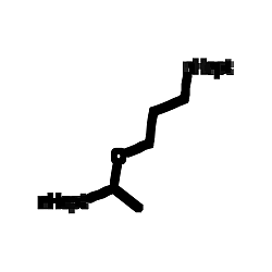 CCCCCCCCCCOC(C)CCCCCCC